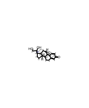 C[C@]12C=CC(=O)C=C1CC[C@H]1[C@@H]3CC/C(=C(/O)CO)[C@@]3(C)C[C@@H]3O[C@@]312